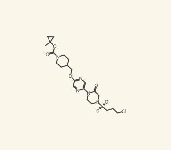 CC1(OC(=O)N2CCC(COc3cnc(N4CCN(S(=O)(=O)CCCCl)CC4=O)cn3)CC2)CC1